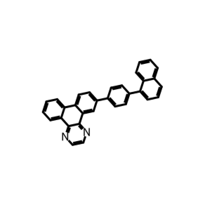 c1ccc2c(-c3ccc(-c4ccc5c6ccccc6c6nccnc6c5c4)cc3)cccc2c1